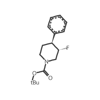 CC(C)(C)OC(=O)N1CC[C@@H](c2ccccc2)[C@H](F)C1